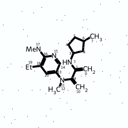 C=C(NC1CCC(C)C1)C(=C)N(C)c1cnc(NC)c(CC)c1